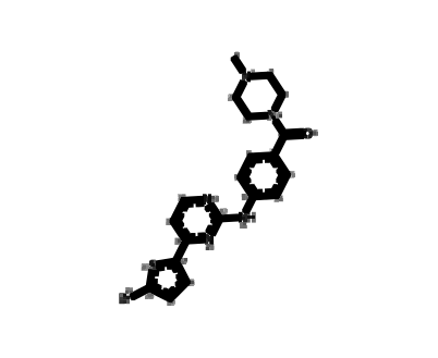 CN1CCN(C(=O)c2ccc(Nc3nccc(-c4ccc(Br)s4)n3)cc2)CC1